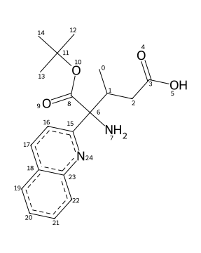 CC(CC(=O)O)C(N)(C(=O)OC(C)(C)C)c1ccc2ccccc2n1